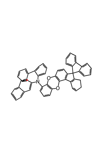 C1=CC2=C(CC1)C1(c3ccccc3-c3ccccc31)c1ccc3c(c12)Oc1cccc(N(c2ccc4ccccc4c2)c2ccccc2-c2ccccc2)c1O3